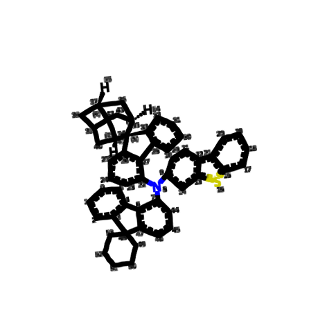 c1ccc2c(c1)-c1c(N(c3ccc4c(c3)sc3ccccc34)c3cccc4c3-c3ccccc3[C@@]43[C@@H]4C[C@H]5CC6C[C@@H]3C65C4)cccc1C21CCCCC1